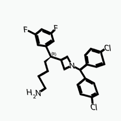 NCCCC[C@@H](c1cc(F)cc(F)c1)C1CN(C(c2ccc(Cl)cc2)c2ccc(Cl)cc2)C1